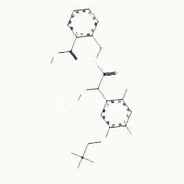 COC(=O)c1ccccc1CNC(=O)C(OC)c1cc(SCC(F)(F)F)c(C)cc1F